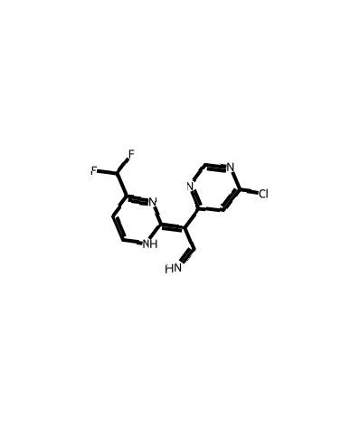 N=C/C(=C1/N=C(C(F)F)C=CN1)c1cc(Cl)ncn1